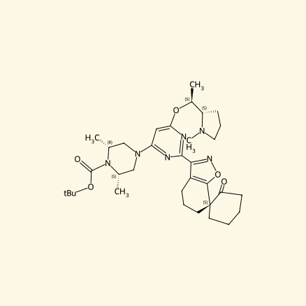 C[C@H](Oc1cc(N2C[C@@H](C)N(C(=O)OC(C)(C)C)[C@@H](C)C2)nc(-c2noc3c2CCC[C@@]32CCCCC2=O)n1)[C@@H]1CCCN1C